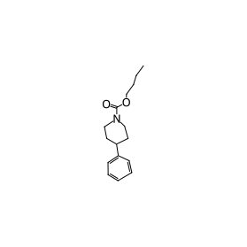 CCCCOC(=O)N1CCC(c2ccccc2)CC1